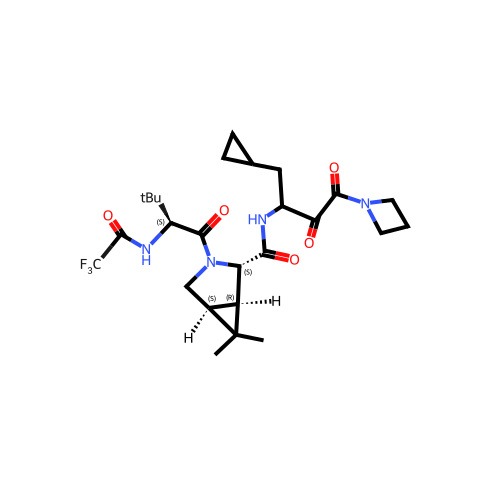 CC(C)(C)[C@H](NC(=O)C(F)(F)F)C(=O)N1C[C@H]2[C@@H]([C@H]1C(=O)NC(CC1CC1)C(=O)C(=O)N1CCC1)C2(C)C